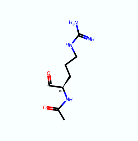 CC(=O)N[C@@H]([C]=O)CCCNC(=N)N